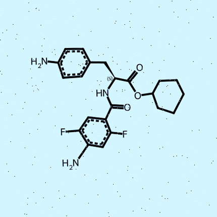 Nc1ccc(C[C@H](NC(=O)c2cc(F)c(N)cc2F)C(=O)OC2CCCCC2)cc1